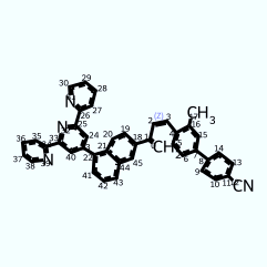 C=C(/C=C\c1ccc(-c2ccc(C#N)cc2)cc1C)c1ccc2c(-c3cc(-c4ccccn4)nc(-c4ccccn4)c3)cccc2c1